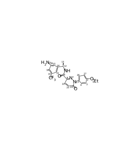 CCOc1ccc(-n2nc(C(=O)N[C@H](C)c3cc(N)cc(C(F)(F)F)c3)ccc2=O)cc1